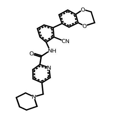 N#Cc1c(NC(=O)c2ccc(CN3CCCCC3)cn2)cccc1-c1ccc2c(c1)OCCO2